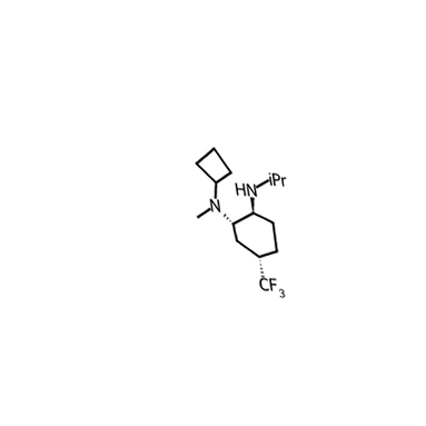 CC(C)N[C@H]1CC[C@H](C(F)(F)F)C[C@@H]1N(C)C1CCC1